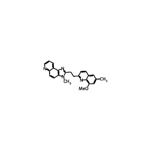 COc1cc(C)cc2ccc(CCc3nc4c5cccnc5ccc4n3C)nc12